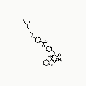 CCCCCCCOc1ccc(C(=O)Oc2ccc(C[C@H](NC(=O)c3ccccc3F)C(C)=O)cc2)cc1